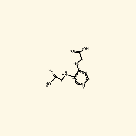 O=C(O)CNc1ccncc1NCC(=O)O